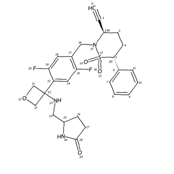 C#C[C@H]1CC[C@H](c2ccccc2)S(=O)(=O)N1Cc1cc(F)c(C2(NCC3CCC(=O)N3)COC2)cc1F